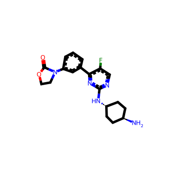 N[C@H]1CC[C@H](Nc2ncc(F)c(-c3cccc(N4CCOC4=O)c3)n2)CC1